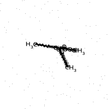 CCCCCCCCCCCCCCOC[C@H](CNC(=O)OCCOCCOC)OCCCCCCCCCCCCCC